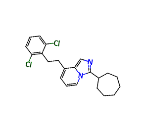 Clc1cccc(Cl)c1CCc1cccn2c(C3CCCCCC3)ncc12